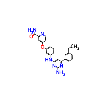 CCc1cccc(-c2cc(Nc3cccc(Oc4ccnc(C(N)=O)c4)c3)nc(N)n2)c1